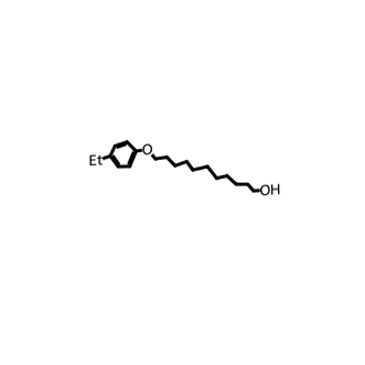 CCc1ccc(OCCCCCCCCCCCO)cc1